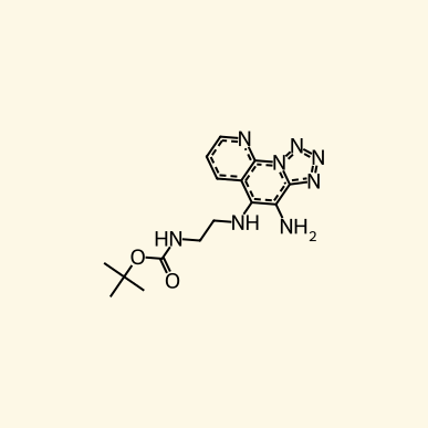 CC(C)(C)OC(=O)NCCNc1c(N)c2nnnn2c2ncccc12